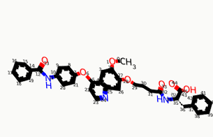 COc1cc2c(Oc3ccc(NC(=O)c4ccccc4)cc3)ccnc2cc1OCCCC(=O)N[C@@H](Cc1ccccc1)C(=O)O